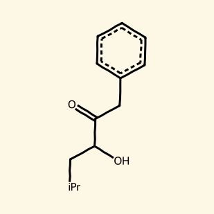 CC(C)CC(O)C(=O)Cc1ccccc1